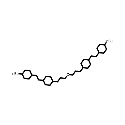 CCCCC1CCC(CCC2CCC(CCCOCCCC3CCC(CCC4CCC(CCCC)CC4)CC3)CC2)CC1